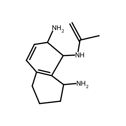 C=C(C)NC1C2=C(C=CC1N)CCCC2N